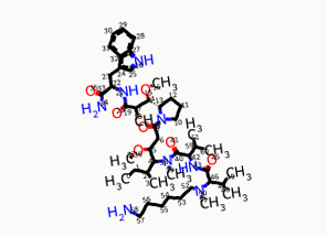 CCC(C)C(C(CC(=O)N1CCC[C@H]1C(OC)C(C)C(=O)NC(Cc1c[nH]c2ccccc12)C(N)=O)OC)N(C)C(=O)C(NC(=O)C(C(C)C)N(C)CCCCCCN)C(C)C